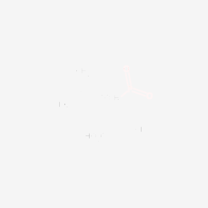 C=C(C)C(=O)O.CC(=CP(=O)=O)C(=O)O